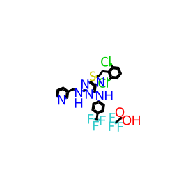 FC(F)(F)c1ccc(Nc2nc(NCc3cccnc3)nc3sc(Cc4c(Cl)cccc4Cl)nc23)cc1.O=C(O)C(F)(F)F